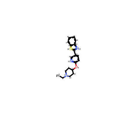 CC(C)CN1CCC(Oc2ccc(-c3nc4ccccc4s3)cn2)CC1